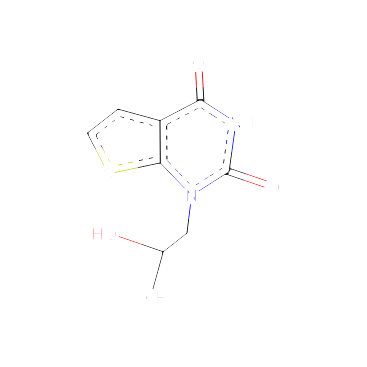 O=c1[nH]c(=O)n(CC(O)C(F)(F)F)c2sccc12